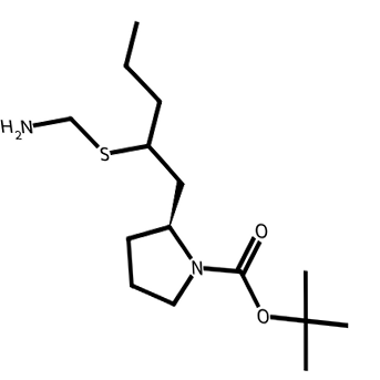 CCCC(C[C@@H]1CCCN1C(=O)OC(C)(C)C)SCN